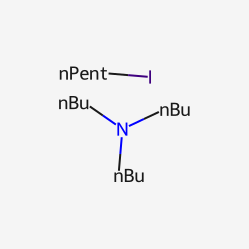 CCCCCI.CCCCN(CCCC)CCCC